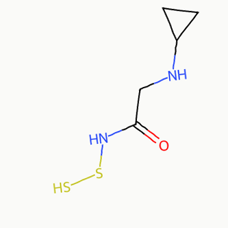 O=C(CNC1CC1)NSS